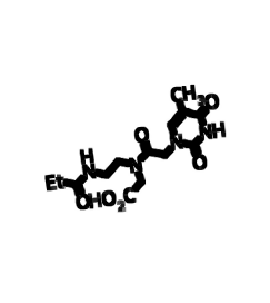 CCC(=O)NCCN(CC(=O)O)C(=O)Cn1cc(C)c(=O)[nH]c1=O